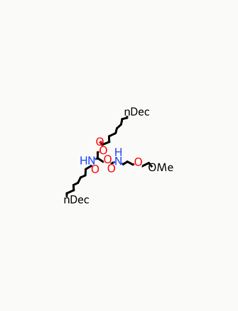 CCCCCCCCCCCCCCCCCC(=O)NC(COC(=O)CCCCCCCCCCCCCCCCC)COC(=O)NCCCOCCOC